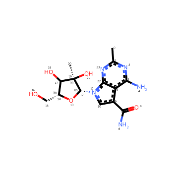 Cc1nc(N)c2c(C(N)=O)cn([C@@H]3O[C@H](CO)C(O)[C@@]3(C)O)c2n1